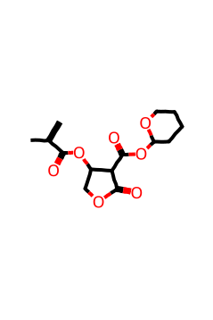 C=C(C)C(=O)OC1COC(=O)C1C(=O)OC1CCCCO1